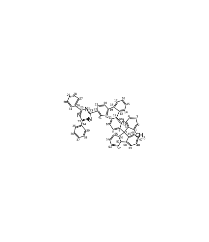 Cc1ccccc1C1(c2cccc(-c3ccccc3-c3ccc(-c4nc(-c5ccccc5)nc(-c5ccccc5)n4)cc3)c2I)c2ccccc2C2C=CC=CC21